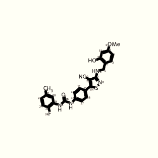 COc1ccc(CNc2nsc(-c3ccc(NC(=O)Nc4cc(C)ccc4F)cc3)c2C#N)c(O)c1